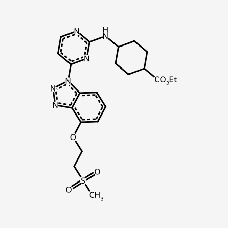 CCOC(=O)C1CCC(Nc2nccc(-n3nnc4c(OCCS(C)(=O)=O)cccc43)n2)CC1